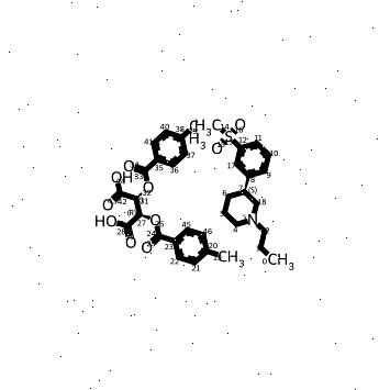 CCCN1CCC[C@@H](c2cccc(S(C)(=O)=O)c2)C1.Cc1ccc(C(=O)O[C@@H](C(=O)O)[C@@H](OC(=O)c2ccc(C)cc2)C(=O)O)cc1